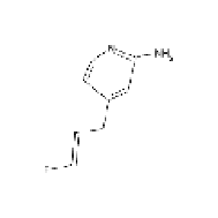 Nc1cc(CC=CF)ccn1